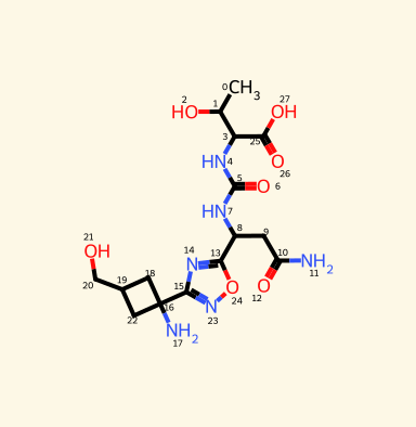 CC(O)C(NC(=O)NC(CC(N)=O)c1nc(C2(N)CC(CO)C2)no1)C(=O)O